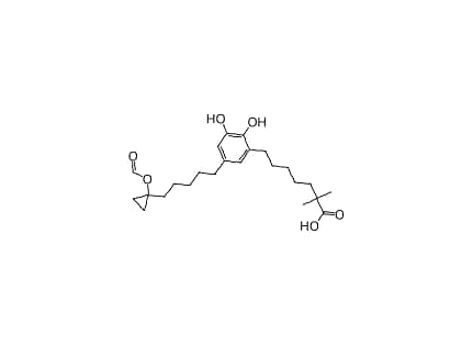 CC(C)(CCCCCc1cc(CCCCCC2(OC=O)CC2)cc(O)c1O)C(=O)O